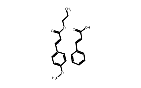 CCCOC(=O)/C=C/c1ccc(OC)cc1.O=C(O)C=Cc1ccccc1